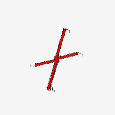 COCCOCCOCCOCCOCCOCCOCCOCCCNc1nc(C(=O)NCCOCCOCCOCCOCCOCCOCCOCCOCCOCCOCCOCCOC)c(NCCCOCCOCCOCCOCCOCCOCCOCCOC)nc1C(=O)CCCOCCOCCOCCOCCOCCOCCOCCOCCOCCOCCOCCOC